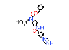 O=C(O)CN(C(=O)COCc1ccccc1)c1ccc(NC(=O)c2ccc(N3CCNCC3)cc2)cc1